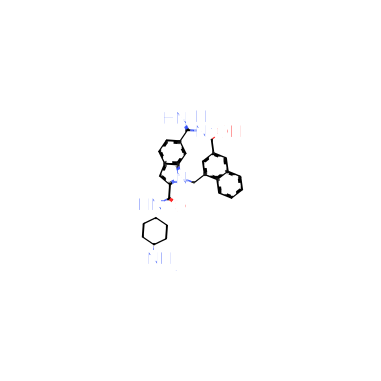 N=C(N)c1ccc2cc(C(=O)N[C@H]3CC[C@H](N)CC3)n(Cc3cc(CO)cc4ccccc34)c2c1